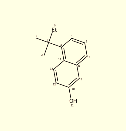 CCC(C)(C)c1cccc2cc(O)ccc12